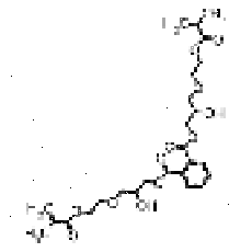 C=C(C)C(=O)OCCOCC(O)COC(=O)c1ccccc1C(=O)OCC(O)COCCOC(=O)C(=C)C